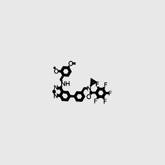 COc1ccc(CNc2ncnc3ccc(-c4cccc(CN(C(=O)c5c(F)c(F)c(F)c(F)c5F)C5CC5)c4)cc23)c(OC)c1